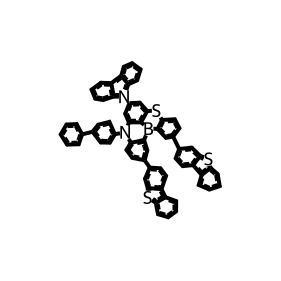 c1ccc(-c2ccc(N3c4ccc(-c5ccc6c(c5)sc5ccccc56)cc4B4c5cc(-c6ccc7c(c6)sc6ccccc67)ccc5Sc5cc(-n6c7ccccc7c7ccccc76)cc3c54)cc2)cc1